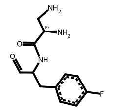 NC[C@@H](N)C(=O)NC(C=O)Cc1ccc(F)cc1